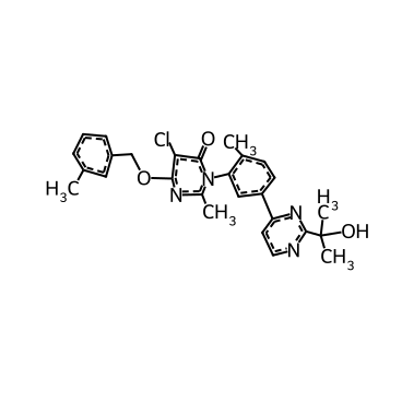 Cc1cccc(COc2nc(C)n(-c3cc(-c4ccnc(C(C)(C)O)n4)ccc3C)c(=O)c2Cl)c1